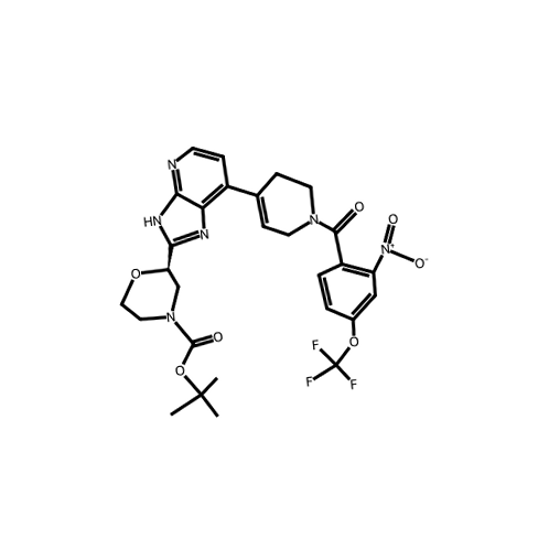 CC(C)(C)OC(=O)N1CCO[C@@H](c2nc3c(C4=CCN(C(=O)c5ccc(OC(F)(F)F)cc5[N+](=O)[O-])CC4)ccnc3[nH]2)C1